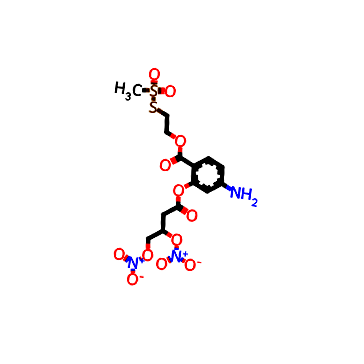 CS(=O)(=O)SCCOC(=O)c1ccc(N)cc1OC(=O)CC(CO[N+](=O)[O-])O[N+](=O)[O-]